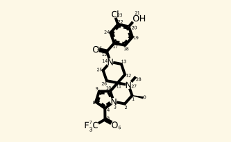 C[C@H]1Cn2c(C(=O)C(F)(F)F)ccc2C2(CCN(C(=O)c3ccc(O)c(Cl)c3)CC2)N1C